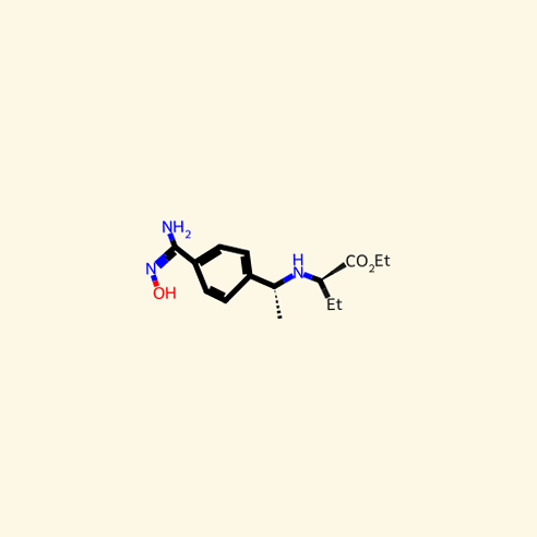 CCOC(=O)[C@@H](CC)N[C@H](C)c1ccc(/C(N)=N\O)cc1